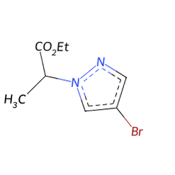 CCOC(=O)C(C)n1cc(Br)cn1